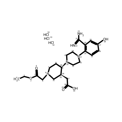 CCOC(=O)CN1CC[C@@H](N2CCN(c3ccc(O)cc3C(=N)N)CC2)[C@@H](CC(=O)O)C1.Cl.Cl.Cl